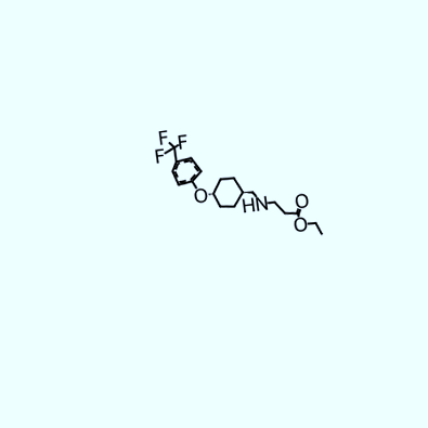 CCOC(=O)CCNC[C@H]1CC[C@H](Oc2ccc(C(F)(F)F)cc2)CC1